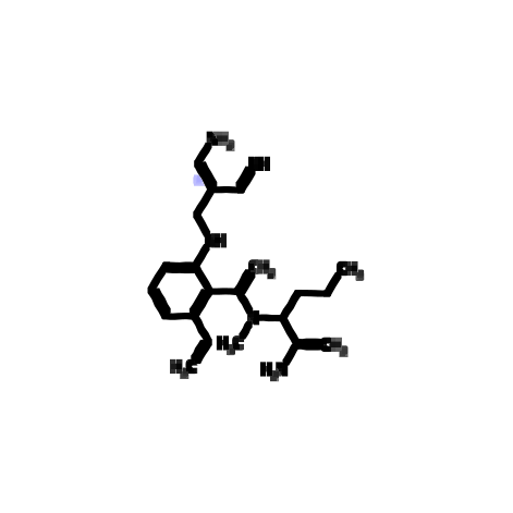 C=Cc1cccc(NC/C(C=N)=C/N)c1C(=C)N(C)C(CCC)C(=C)N